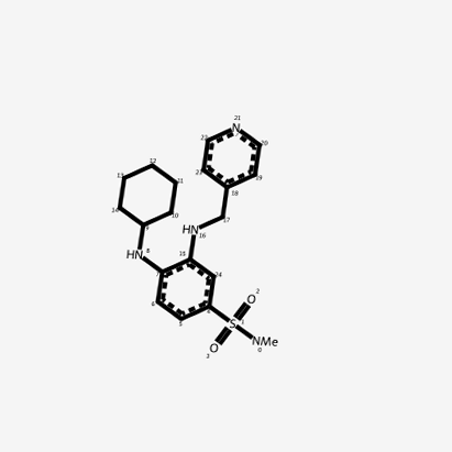 CNS(=O)(=O)c1ccc(NC2CCCCC2)c(NCc2ccncc2)c1